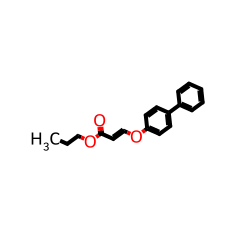 CCCOC(=O)C=COc1ccc(-c2ccccc2)cc1